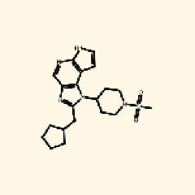 CS(=O)(=O)N1CCC(n2c(CC3CCCC3)nc3cnc4[nH]ccc4c32)CC1